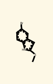 CSc1cc2cc(Br)ccc2[nH]1